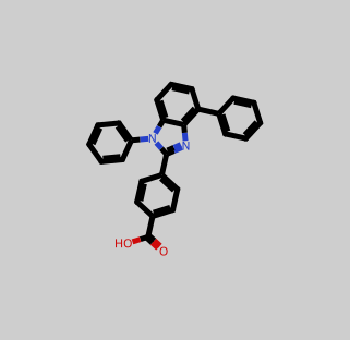 O=C(O)c1ccc(-c2nc3c(-c4ccccc4)cccc3n2-c2ccccc2)cc1